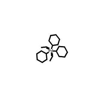 C[CH]=[Pd](=[CH]C)([CH]1CCCCC1)([CH]1CCCCC1)[CH]1CCCCC1